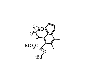 CCOC(=O)[C@@H](OC(C)(C)C)c1c(C)c(C)c2ccccc2c1OS(=O)(=O)C(F)(F)F